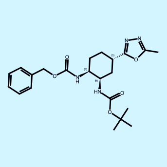 Cc1nnc([C@H]2CC[C@H](NC(=O)OCc3ccccc3)[C@H](NC(=O)OC(C)(C)C)C2)o1